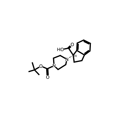 CC(C)(C)OC(=O)N1CCN([C@@]2(C(=O)O)CCc3ccccc32)CC1